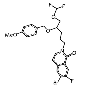 COc1ccc(COC(CCCn2ccc3cc(Br)c(F)cc3c2=O)COC(F)F)cc1